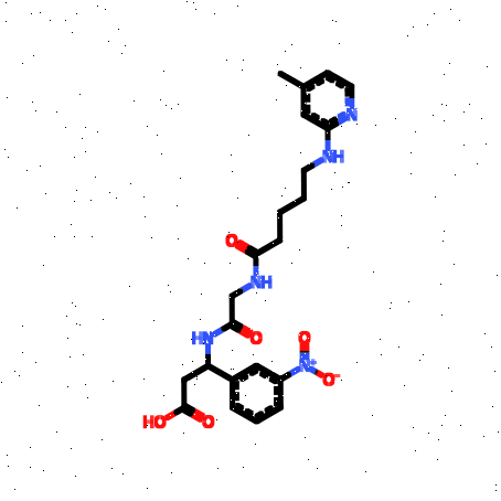 Cc1ccnc(NCCCCC(=O)NCC(=O)NC(CC(=O)O)c2cccc([N+](=O)[O-])c2)c1